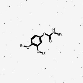 CCOc1ccc(OC(=O)NC(C)C)cc1OCC